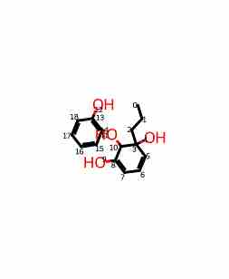 CCCC1(O)C=CC=C(O)C1O.Oc1ccccc1